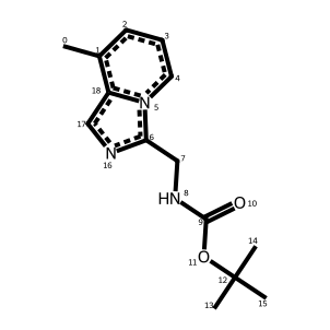 Cc1cccn2c(CNC(=O)OC(C)(C)C)ncc12